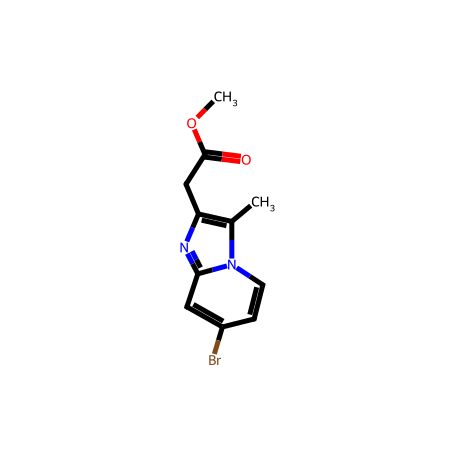 COC(=O)Cc1nc2cc(Br)ccn2c1C